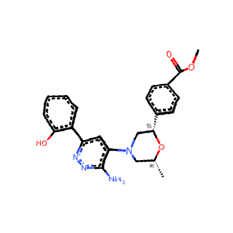 COC(=O)c1ccc([C@H]2CN(c3cc(-c4ccccc4O)nnc3N)C[C@@H](C)O2)cc1